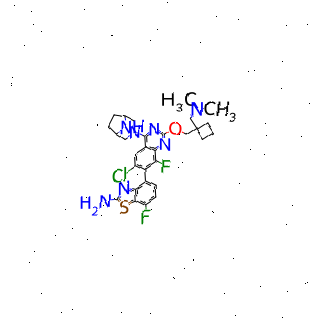 CN(C)CC1(COc2nc(N3CC4CCC(C3)N4)c3cc(Cl)c(-c4ccc(F)c5sc(N)nc45)c(F)c3n2)CCC1